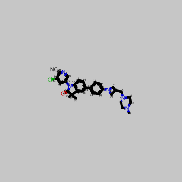 CN1CCN(CC2CN(c3ccc(-c4ccc5c(c4)C(C)(C)C(=O)N5c4cnc(C#N)c(Cl)c4)cc3)C2)CC1